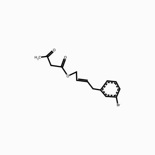 CC(=O)CC(=O)OC/C=C/Cc1cccc(Br)c1